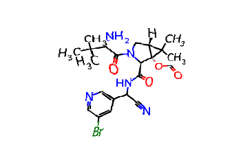 CC(C)(C)[C@H](N)C(=O)N1C[C@@H]2C(C)(C)[C@@]2(OC=O)[C@H]1C(=O)NC(C#N)c1cncc(Br)c1